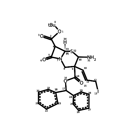 CC(C)(C)OC(=O)C1C(=O)N2CC(C=CCI)(C(=O)OC(c3ccccc3)c3ccccc3)C(N)S[C@H]12